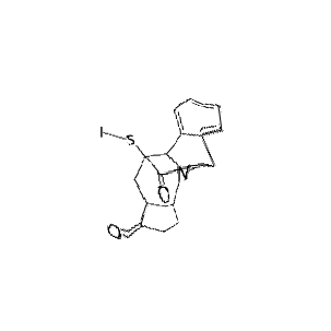 O=C1CCC2C1CC1(SI)C(=O)C3c4ccccc4C1N32